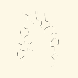 CCc1cn(-c2ccc(S(=O)(=O)Nc3cc(F)c(C(=O)NC(Cc4ccc(-n5c(=O)c6ccncc6n(C)c5=O)cn4)C(=O)O)cc3F)cc2)[nH]1